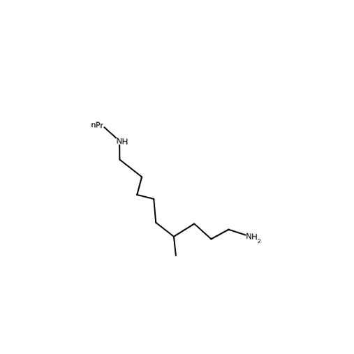 CCCNCCCCCC(C)CCCN